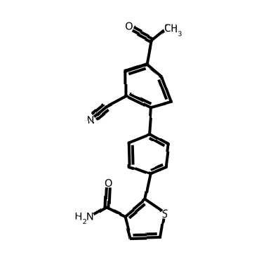 CC(=O)c1ccc(-c2ccc(-c3sccc3C(N)=O)cc2)c(C#N)c1